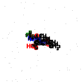 CCn1c(=O)n(-c2nnc(C(F)F)s2)c2cc(S(=O)O)cc(N3CCN(C(=O)OC(C)(C)C)[C@@H](C)C3)c21